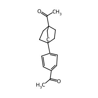 CC(=O)c1ccc(C23CCC(C(C)=O)(CC2)CC3)cc1